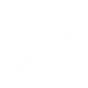 C/C=C/[C@H]1CC[C@H](CCC2CCC(c3ccc(Cl)c(Cl)c3)CC2)CC1